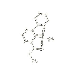 COC(=O)c1cccc(-c2ccccc2)c1S(C)(=O)=O